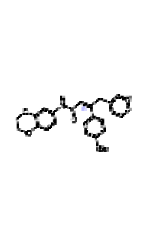 CC(C)(C)c1ccc(/C(=C\C(=O)Nc2ccc3c(c2)OCCO3)Cc2cccnc2)cc1